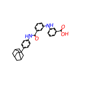 O=C(O)c1cccc(Nc2cccc(C(=O)Nc3ccc(C45CC6CC(CC(C6)C4)C5)cc3)c2)c1